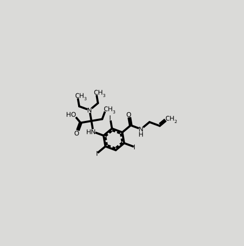 C=CCNC(=O)c1c(I)cc(I)c(NC(CC)(C(=O)O)N(CC)CC)c1I